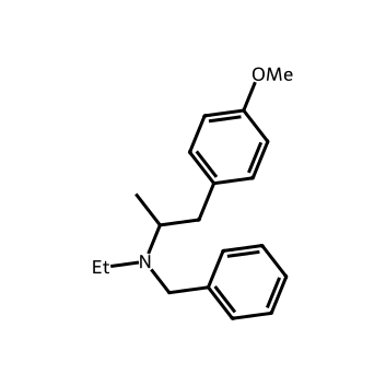 CCN(Cc1ccccc1)C(C)Cc1ccc(OC)cc1